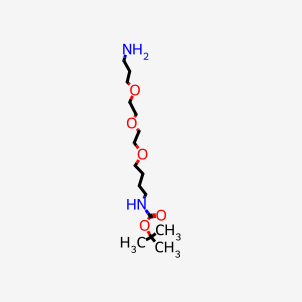 CC(C)(C)OC(=O)NCCCCOCCOCCOCCCN